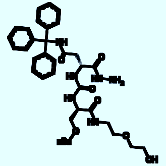 CCCCOC[C@@H](NC(=O)N[C@H](CC(=O)NC(c1ccccc1)(c1ccccc1)c1ccccc1)C(=O)NN)C(=O)NCCOCCO